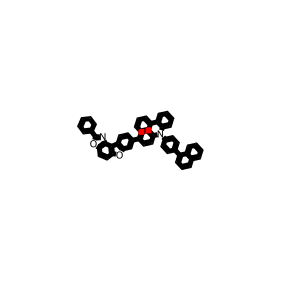 C1=CCCC(c2nc3c(ccc4oc5cc(-c6ccc(N(c7ccc(-c8cccc9ccccc89)cc7)c7ccccc7-c7ccccc7)cc6)ccc5c43)o2)=C1